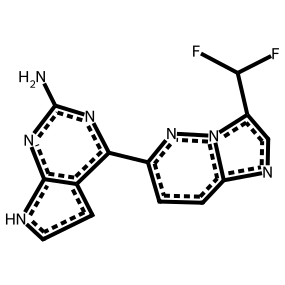 Nc1nc(-c2ccc3ncc(C(F)F)n3n2)c2cc[nH]c2n1